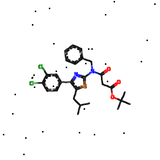 CC(C)Cc1sc(N(Cc2ccccc2)C(=O)CC(=O)OC(C)(C)C)nc1-c1ccc(Cl)c(Cl)c1